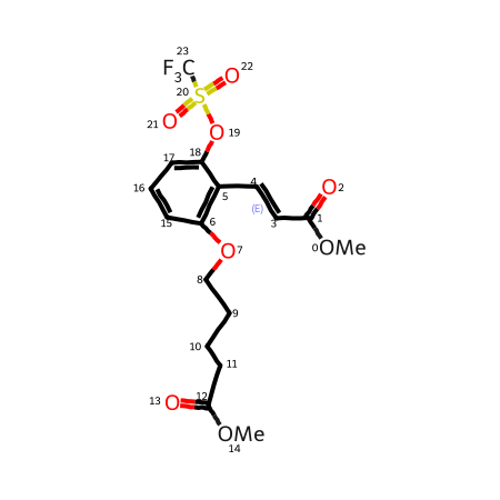 COC(=O)/C=C/c1c(OCCCCC(=O)OC)cccc1OS(=O)(=O)C(F)(F)F